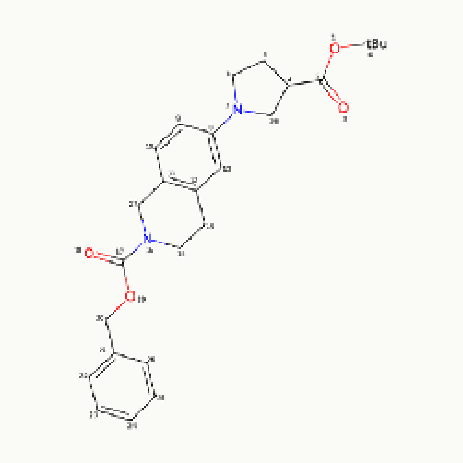 CC(C)(C)OC(=O)C1CCN(c2ccc3c(c2)CCN(C(=O)OCc2ccccc2)C3)C1